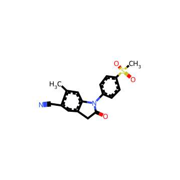 Cc1cc2c(cc1C#N)CC(=O)N2c1ccc(S(C)(=O)=O)cc1